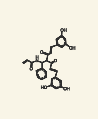 C=CC(=O)NC(c1ccccc1)C(C(=O)/C=C/c1cc(O)cc(O)c1)C(=O)/C=C/c1cc(O)cc(O)c1